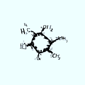 Bc1c(B)c(C)c(Br)c(O)c1C